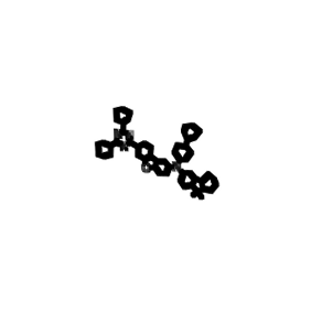 CC1(C)c2ccccc2-c2cc(N(c3ccc(-c4ccccc4)cc3)c3ccc4oc5cc(-c6nc(-c7ccccc7)nc(-c7ccccc7)n6)ccc5c4c3)ccc21